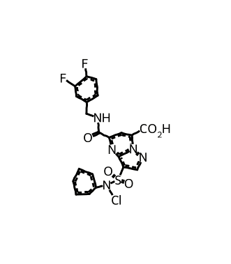 O=C(NCc1ccc(F)c(F)c1)c1cc(C(=O)O)n2ncc(S(=O)(=O)N(Cl)c3ccccc3)c2n1